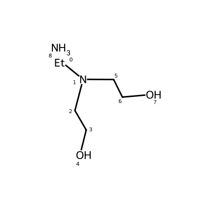 CCN(CCO)CCO.N